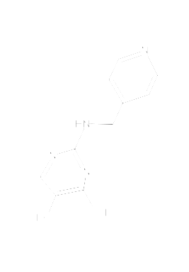 Cc1cnc(NCc2ccncc2)nc1C